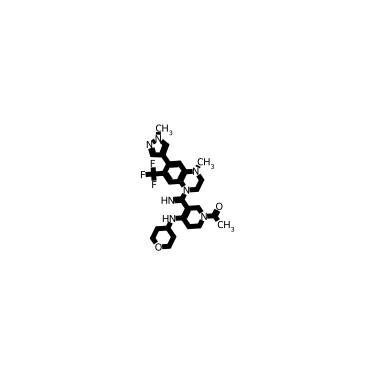 CC(=O)N1CCC(NC2CCOCC2)=C(C(=N)N2CCN(C)c3cc(-c4cnn(C)c4)c(C(F)(F)F)cc32)C1